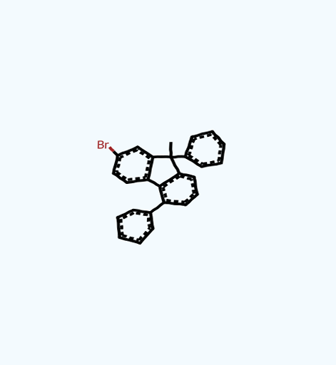 CC1(c2ccccc2)c2cc(Br)ccc2-c2c(-c3ccccc3)cccc21